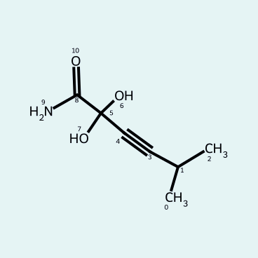 CC(C)C#CC(O)(O)C(N)=O